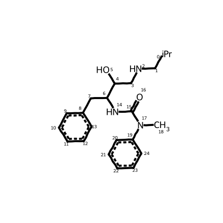 CC(C)CNCC(O)C(Cc1ccccc1)NC(=O)N(C)c1ccccc1